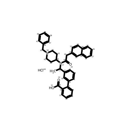 CC(c1cccc(-c2ccccc2C(=O)O)c1)N(C(=O)Cc1ccc2ccccc2c1)C1CCN(Cc2ccccc2)CC1.Cl